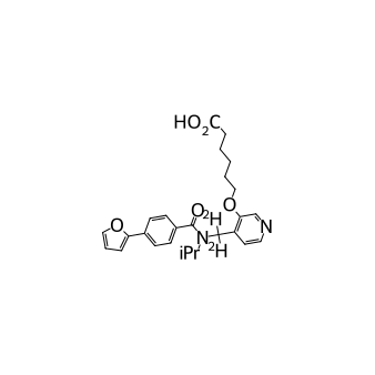 [2H]C([2H])(c1ccncc1OCCCCCC(=O)O)N(C(=O)c1ccc(-c2ccco2)cc1)C(C)C